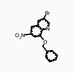 O=[N+]([O-])c1cc(OCc2ccccc2)c2ncc(Br)cc2c1